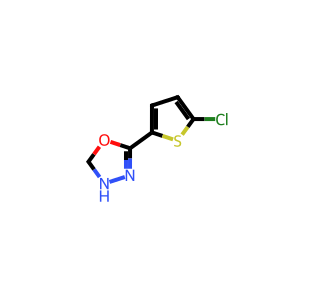 Clc1ccc(C2=NNCO2)s1